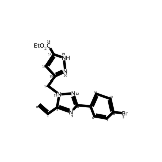 C=Cc1nc(-c2ccc(Br)cc2)nn1Cc1cc(C(=O)OCC)[nH]n1